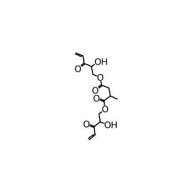 C=CC(=O)C(O)COC(=O)CC(C)C(=O)OCC(O)C(=O)C=C